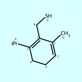 CC1=CCCC(C(C)C)=C1CS